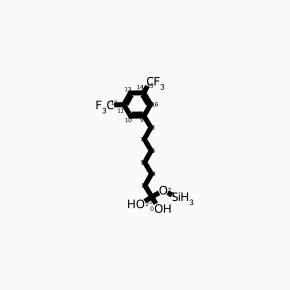 OC(O)(CCCCCCc1cc(C(F)(F)F)cc(C(F)(F)F)c1)O[SiH3]